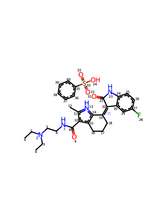 CCN(CC)CCNC(=O)c1c(C)[nH]c2c1CCC/C2=C1/C(=O)Nc2ccc(F)cc21.O=S(=O)(O)c1ccccc1